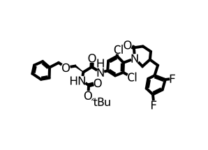 CC(C)(C)OC(=O)N[C@@H](COCc1ccccc1)C(=O)Nc1cc(Cl)c(N2CC(Cc3ccc(F)cc3F)CCC2=O)c(Cl)c1